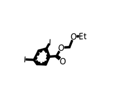 CCOCOC(=O)c1ccc(I)cc1I